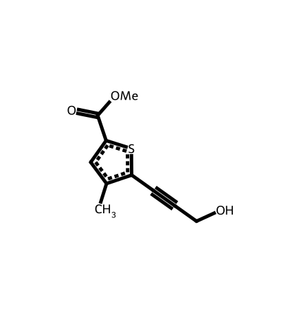 COC(=O)c1cc(C)c(C#CCO)s1